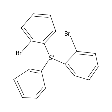 Brc1ccccc1[S+](c1ccccc1)c1ccccc1Br